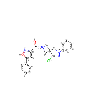 O=C(c1cc(-c2ccccc2)on1)N1CC(CCl)(CNc2ccccc2)C1